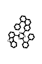 c1ccc(-c2ccccc2-c2nc(-c3ccc4ccc5cccc(-c6ccccc6)c5c4c3)nc(-c3cccc4oc5ccccc5c34)n2)cc1